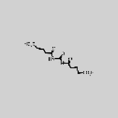 O=C(O)CCCC(=O)NC(=O)NC(=O)CCCC(=O)O